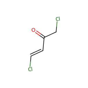 O=C(C=CCl)CCl